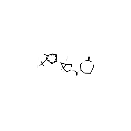 Cc1ccc([C@H]2[C@@H]3CN(C(=O)[C@@H]4CCCOC(=O)NC4)C[C@@H]32)cc1C(F)(F)F